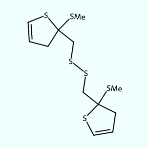 CSC1(CSSCC2(SC)CC=CS2)CC=CS1